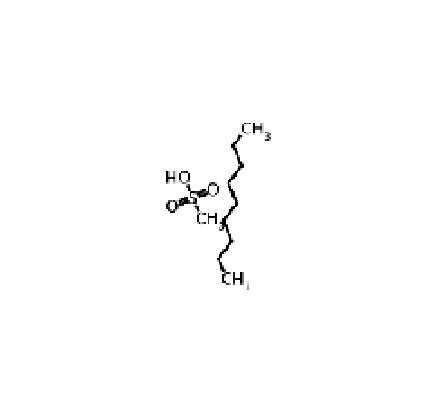 CCCCCCCCC.CS(=O)(=O)O